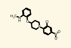 CNc1ccccc1OC1CCN(c2ccc([N+](=O)[O-])cc2Cl)CC1